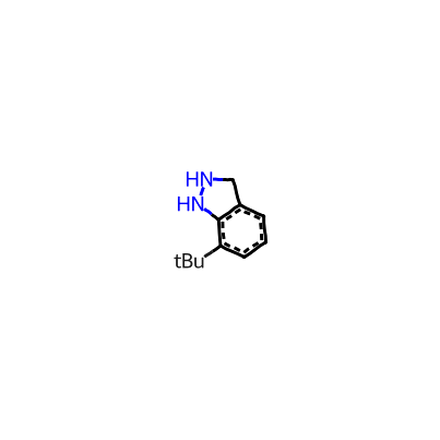 CC(C)(C)c1cccc2c1NNC2